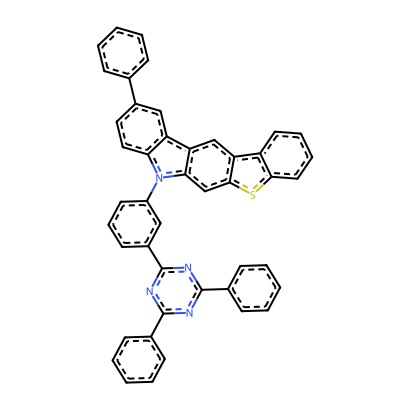 c1ccc(-c2ccc3c(c2)c2cc4c(cc2n3-c2cccc(-c3nc(-c5ccccc5)nc(-c5ccccc5)n3)c2)sc2ccccc24)cc1